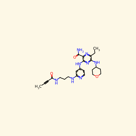 CC#CC(=O)NCCCNc1cc(Nc2nc(NC3CCOCC3)c(CC)nc2C(N)=O)ccn1